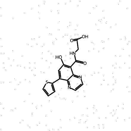 O=C(O)CNC(=O)c1c(O)cc(-c2cccs2)c2nccnc12